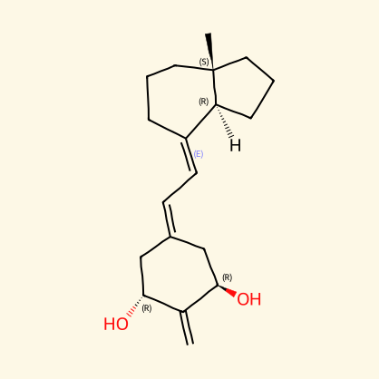 C=C1[C@H](O)CC(=C/C=C2\CCC[C@]3(C)CCC[C@@H]23)C[C@H]1O